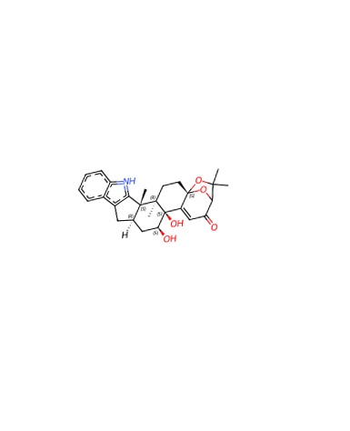 CC1(C)O[C@@]23CC[C@]4(C)[C@@]5(C)c6[nH]c7ccccc7c6C[C@@H]5C[C@H](O)[C@@]4(O)C2=CC(=O)C1O3